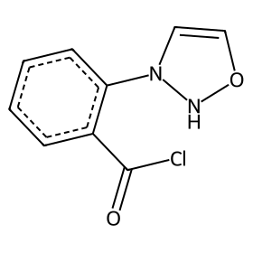 O=C(Cl)c1ccccc1N1C=CON1